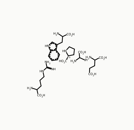 CC(C)C(N)C(=O)O.N=C(N)NCCCC(N)C(=O)O.NC(CCC(=O)O)C(=O)O.NC(Cc1c[nH]c2ccccc12)C(=O)O.O=C(O)[C@@H]1CCCN1